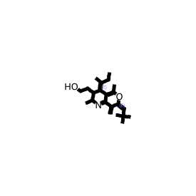 C=C1C2=NC(C)C(CCO)/C(=C(\C)CC)C2=C(C)O/C1=C/C(C)(C)C